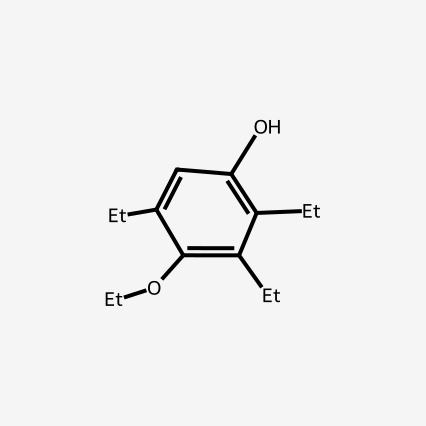 CCOc1c(CC)cc(O)c(CC)c1CC